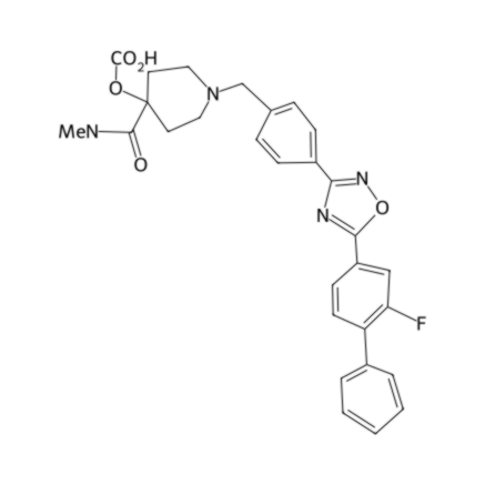 CNC(=O)C1(OC(=O)O)CCN(Cc2ccc(-c3noc(-c4ccc(-c5ccccc5)c(F)c4)n3)cc2)CC1